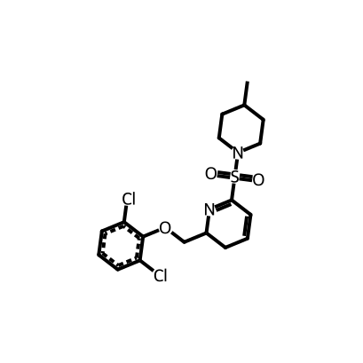 CC1CCN(S(=O)(=O)C2=NC(COc3c(Cl)cccc3Cl)CC=C2)CC1